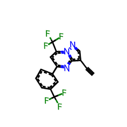 C#Cc1cnn2c(C(F)(F)F)cc(-c3cccc(C(F)(F)F)c3)nc12